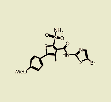 COc1ccc(-c2sc(S(N)(=O)=O)c(C(=O)Nc3ncc(Br)s3)c2C)cc1